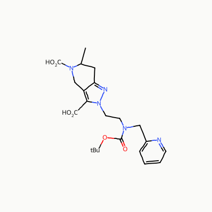 CC1Cc2nn(CCN(Cc3ccccn3)C(=O)OC(C)(C)C)c(C(=O)O)c2CN1C(=O)O